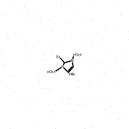 Br.CCCCCCCCN1C=CN(CCCCCCCC)C1CC